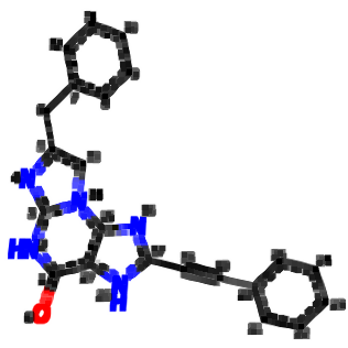 O=c1[nH]c2nc(Cc3ccccc3)cn2c2nc(C#Cc3ccccc3)[nH]c12